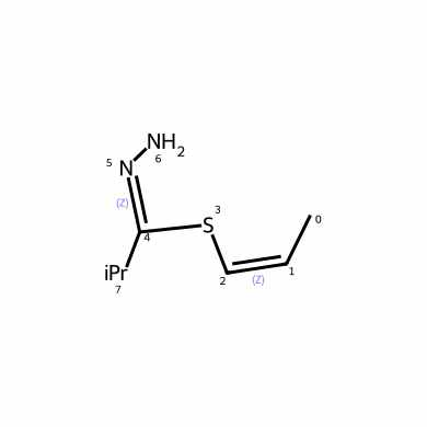 C/C=C\S/C(=N\N)C(C)C